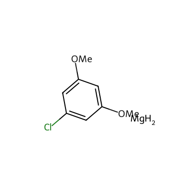 COc1cc(Cl)cc(OC)c1.[MgH2]